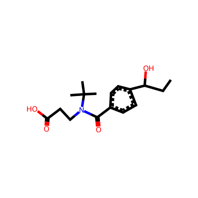 CCC(O)c1ccc(C(=O)N(CCC(=O)O)C(C)(C)C)cc1